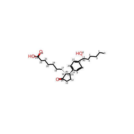 CCCCC[C@@H](O)c1ccc([C@H]2CCC(=O)[C@@H]2CCCCCCC(=O)O)cc1